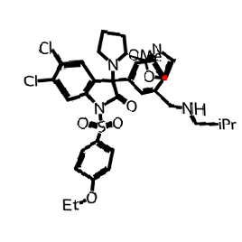 CCOc1ccc(S(=O)(=O)N2C(=O)C(c3cc(CNCC(C)C)ccc3OC)(N3CCC[C@H]3c3ncco3)c3cc(Cl)c(Cl)cc32)cc1